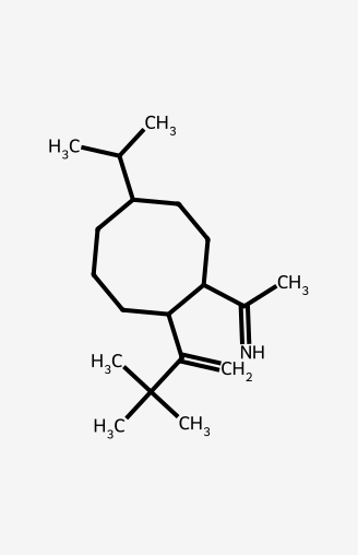 C=C(C1CCCC(C(C)C)CCC1C(C)=N)C(C)(C)C